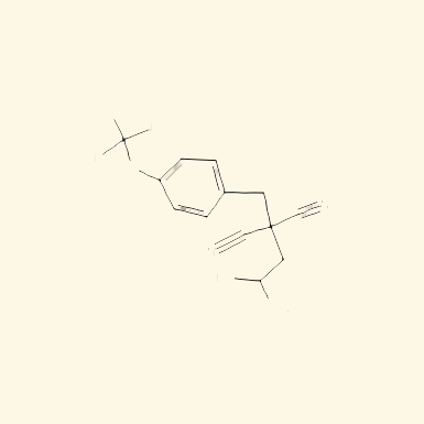 CC(C)CC(C#N)(C#N)Cc1ccc(OC(F)(F)F)cc1